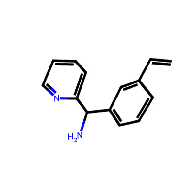 C=Cc1cccc(C(N)c2ccccn2)c1